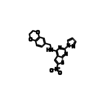 O=[N+]([O-])c1cc2c(NCc3ccc4c(c3)OCCO4)nc(-n3cccn3)nc2s1